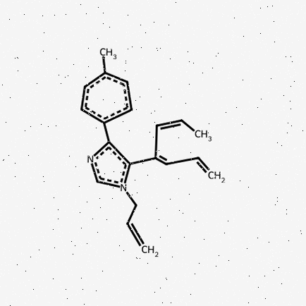 C=C/C=C(\C=C/C)c1c(-c2ccc(C)cc2)ncn1CC=C